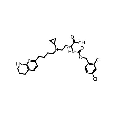 O=C(N[C@@H](CCN(CCCCc1ccc2c(n1)NCCC2)C1CC1)C(=O)O)OCc1ccc(Cl)cc1Cl